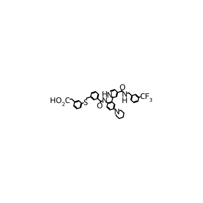 O=C(O)Cc1cccc(SCc2cccc(C(=O)Nc3ccc(N4CCCCC4)cc3-c3cc(C(=O)NCc4cccc(C(F)(F)F)c4)ccn3)c2)c1